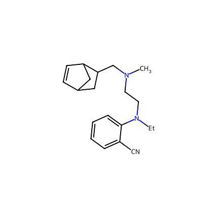 CCN(CCN(C)CC1CC2C=CC1C2)c1ccccc1C#N